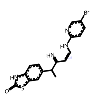 CC(C(=N)/C=C\Nc1ccc(Br)cn1)c1ccc2[nH]c(=O)sc2c1